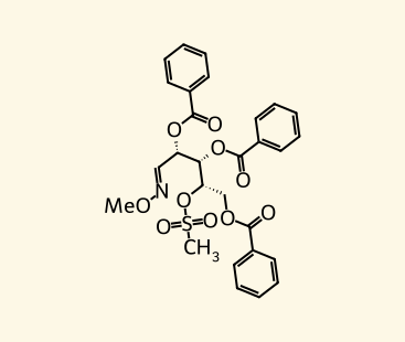 CON=C[C@H](OC(=O)c1ccccc1)[C@H](OC(=O)c1ccccc1)[C@H](COC(=O)c1ccccc1)OS(C)(=O)=O